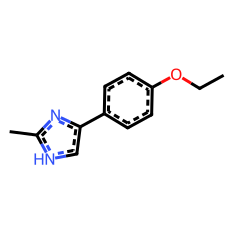 CCOc1ccc(-c2c[nH]c(C)n2)cc1